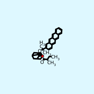 CCC(C)C(=O)OC1C2CC3CC1CC(C2)C3OC(C)(C)c1ccc2cc3cc4ccccc4cc3cc2c1